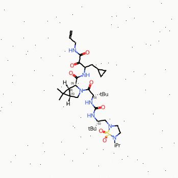 C=CCNC(=O)C(=O)C(CC1CC1)NC(=O)[C@@H]1[C@@H]2[C@H](CN1C(=O)[C@@H](NC(=O)N[C@H](CN1CCN(C(C)C)S1(=O)=O)C(C)(C)C)C(C)(C)C)C2(C)C